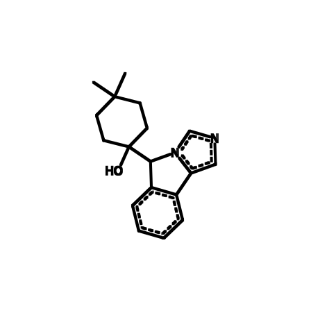 CC1(C)CCC(O)(C2c3ccccc3-c3cncn32)CC1